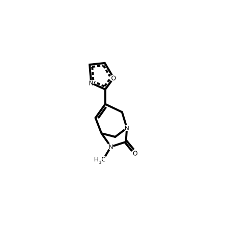 CN1C(=O)N2CC(c3ncco3)=CC1C2